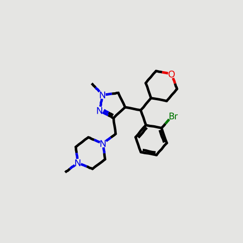 CN1CCN(CC2=NN(C)CC2C(c2ccccc2Br)C2CCOCC2)CC1